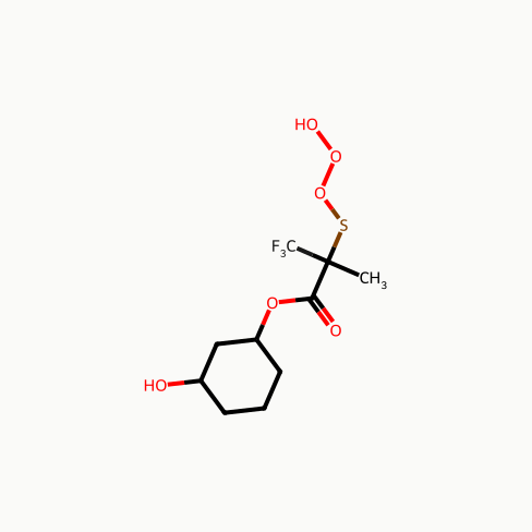 CC(SOOO)(C(=O)OC1CCCC(O)C1)C(F)(F)F